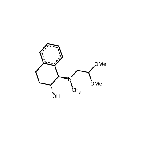 COC(CN(C)[C@@H]1c2ccccc2CC[C@H]1O)OC